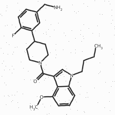 CCCCn1cc(C(=O)N2CCC(c3cc(CN)ccc3F)CC2)c2c(OC)cccc21